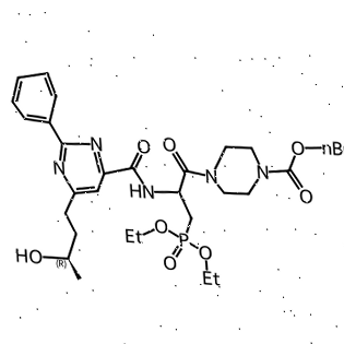 CCCCOC(=O)N1CCN(C(=O)C(CP(=O)(OCC)OCC)NC(=O)c2cc(CC[C@@H](C)O)nc(-c3ccccc3)n2)CC1